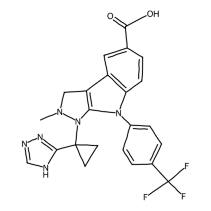 CN1Cc2c(n(-c3ccc(C(F)(F)F)cc3)c3ccc(C(=O)O)cc23)N1C1(c2nnc[nH]2)CC1